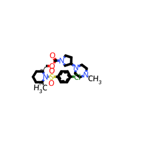 C[C@@H]1CCC[C@H](COC(=O)N2CCC(N3CCN(C)CC3)C2)N1S(=O)(=O)c1ccc(Cl)cc1